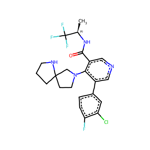 C[C@@H](NC(=O)c1cncc(-c2ccc(F)c(Cl)c2)c1N1CCC2(CCCN2)C1)C(F)(F)F